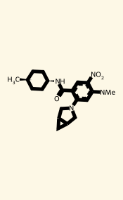 CNc1cc(N2CC3CC3C2)c(C(=O)N[C@H]2CC[C@H](C)CC2)cc1[N+](=O)[O-]